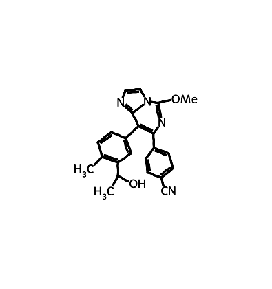 COc1nc(-c2ccc(C#N)cc2)c(-c2ccc(C)c(C(C)O)c2)c2nccn12